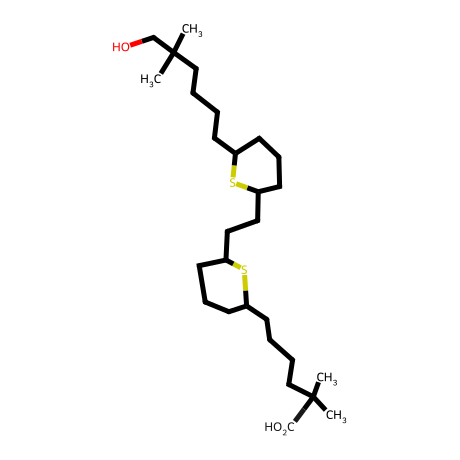 CC(C)(CO)CCCCC1CCCC(CCC2CCCC(CCCCC(C)(C)C(=O)O)S2)S1